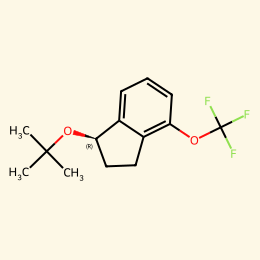 CC(C)(C)O[C@@H]1CCc2c(OC(F)(F)F)cccc21